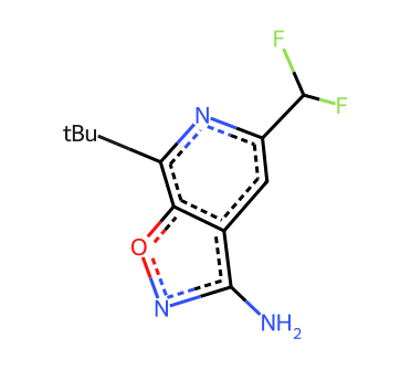 CC(C)(C)c1nc(C(F)F)cc2c(N)noc12